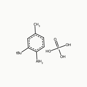 Cc1cc[c]([AlH2])c(C(C)(C)C)c1.O=P(O)(O)O